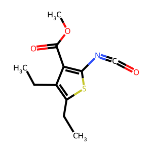 CCc1sc(N=C=O)c(C(=O)OC)c1CC